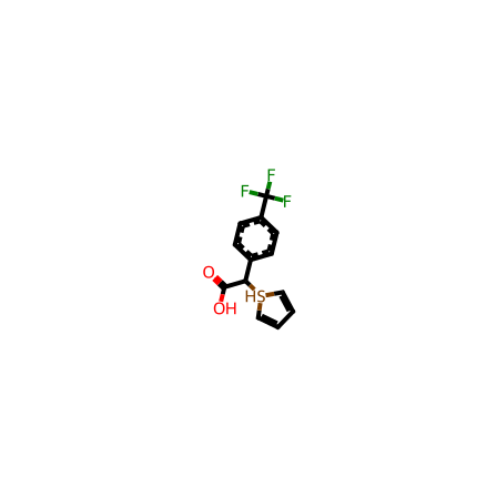 O=C(O)C(c1ccc(C(F)(F)F)cc1)[SH]1C=CC=C1